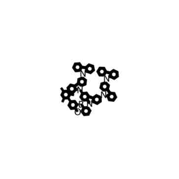 Cc1cc(C)c(-c2ccc3c(c2)B2c4c(cccc4-n4c5ccc(-n6c7ccccc7c7cc(-n8c9ccccc9c9ccccc98)ccc76)cc5c5cc(-n6c7ccccc7c7cc(-n8c9ccccc9c9ccccc98)ccc76)cc2c54)O3)c(C)c1